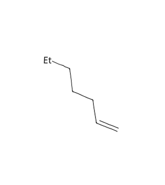 C=CCCCCC